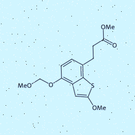 COCOc1ccc(CCC(=O)OC)c2sc(OC)cc12